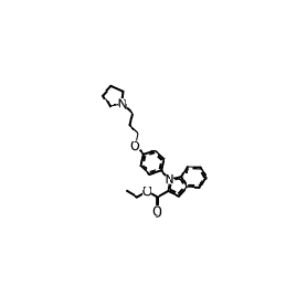 CCOC(=O)c1cc2ccccc2n1-c1ccc(OCCCN2CCCC2)cc1